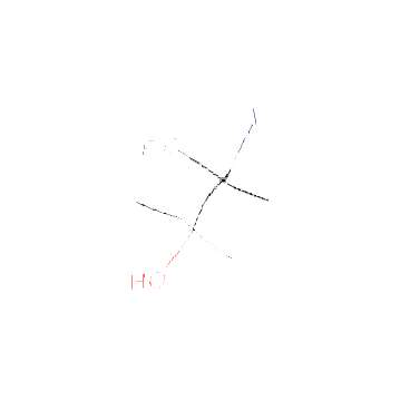 CC(C)(O)C(C)(I)C(F)(F)F